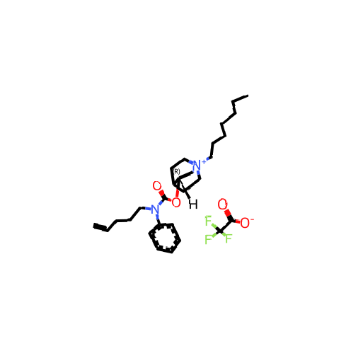 C=CCCCN(C(=O)O[C@H]1C[N+]2(CCCCCCC)CCC1CC2)c1ccccc1.O=C([O-])C(F)(F)F